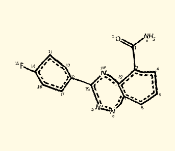 NC(=O)c1cccc2nnc(-c3ccc(F)cc3)nc12